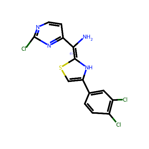 N/C(=C1\NC(c2ccc(Cl)c(Cl)c2)=CS1)c1ccnc(Cl)n1